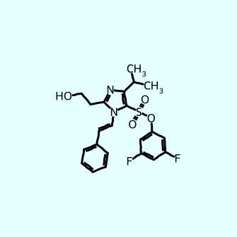 CC(C)c1nc(CCO)n(C=Cc2ccccc2)c1S(=O)(=O)Oc1cc(F)cc(F)c1